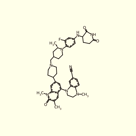 Cc1cc2c(N3CCN(C)c4ccc(C#N)cc43)cc(C3CCN(CC4CCN(c5ccc(NC6CCC(=O)NC6=O)cc5F)[C@H](C)C4)CC3)cc2n(C)c1=O